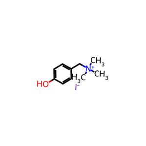 C[N+](C)(C)Cc1ccc(O)cc1.[I-]